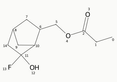 CCC(=O)OCC1CC2CC1C(O)(F)C2